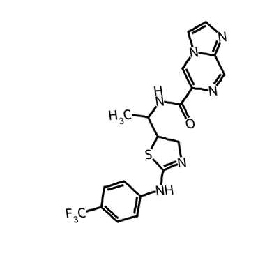 CC(NC(=O)c1cn2ccnc2cn1)C1CN=C(Nc2ccc(C(F)(F)F)cc2)S1